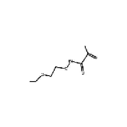 C=C(C)C(=O)NOCCOCC